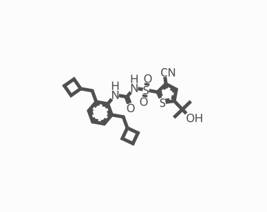 CC(C)(O)c1cc(C#N)c(S(=O)(=O)NC(=O)Nc2c(CC3CCC3)cccc2CC2CCC2)s1